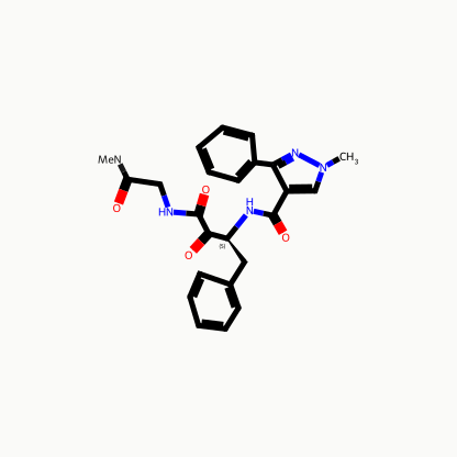 CNC(=O)CNC(=O)C(=O)[C@H](Cc1ccccc1)NC(=O)c1cn(C)nc1-c1ccccc1